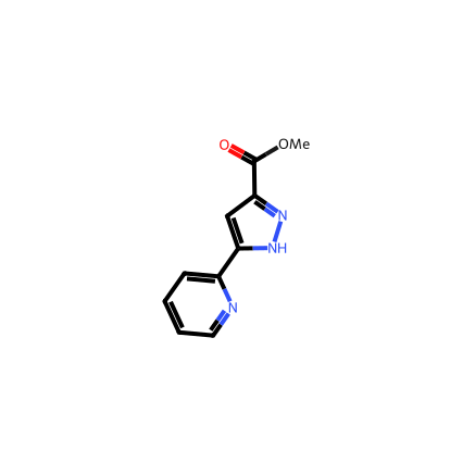 COC(=O)c1cc(-c2ccccn2)[nH]n1